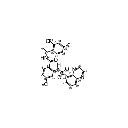 CC(NC(=O)c1ccc(Cl)cc1NS(=O)(=O)c1cccc2nccnc12)c1ccc(Cl)cc1Cl